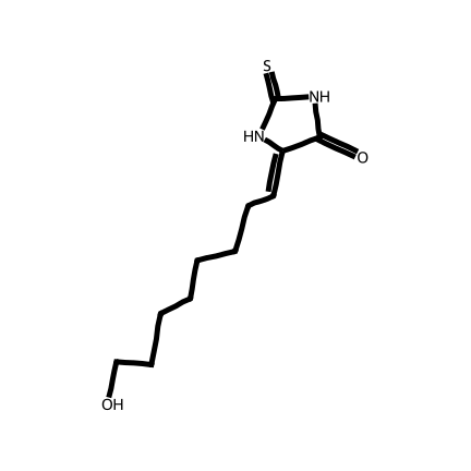 O=C1NC(=S)NC1=CCCCCCCCO